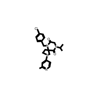 Cc1cc(N2CCC3(C2)C(=O)N(C(C)C)CC(=O)N3Cc2ccc(Cl)cc2)ccn1